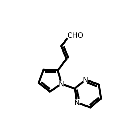 O=C/C=C/c1cccn1-c1ncccn1